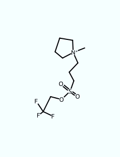 C[N+]1(CCCS(=O)(=O)OCC(F)(F)F)CCCC1